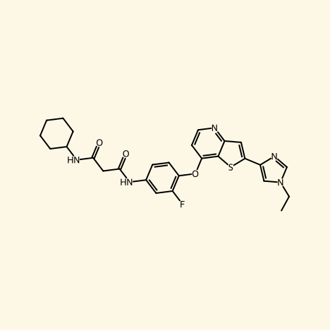 CCn1cnc(-c2cc3nccc(Oc4ccc(NC(=O)CC(=O)NC5CCCCC5)cc4F)c3s2)c1